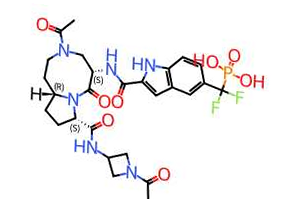 CC(=O)N1CC(NC(=O)[C@@H]2CC[C@@H]3CCN(C(C)=O)C[C@H](NC(=O)c4cc5cc(C(F)(F)P(=O)(O)O)ccc5[nH]4)C(=O)N32)C1